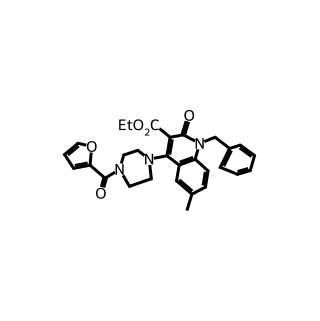 CCOC(=O)c1c(N2CCN(C(=O)c3ccco3)CC2)c2cc(C)ccc2n(Cc2ccccc2)c1=O